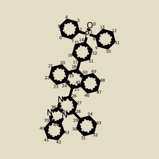 O=P(c1ccccc1)(c1ccccc1)c1ccc(-c2c3ccccc3c(-c3cc(-c4ccccc4)n4c(n3)nc3ccccc34)c3ccccc23)cc1